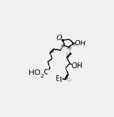 CC/C=C\CC(O)/C=C/[C@H]1[C@H](O)CC(=O)[C@@H]1C/C=C\CCCC(=O)O